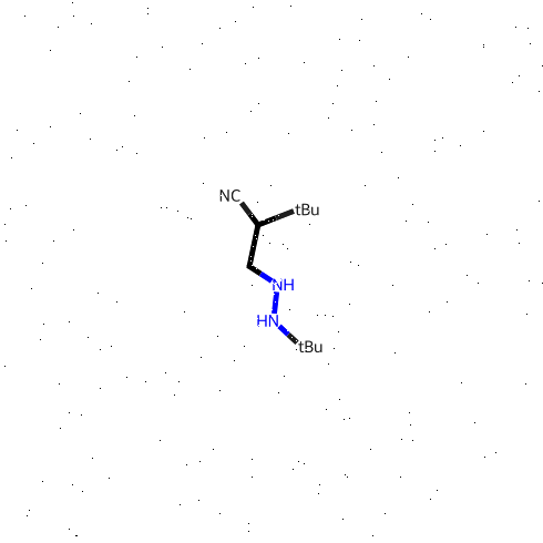 CC(C)(C)NNCC(C#N)C(C)(C)C